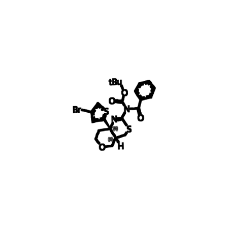 CC(C)(C)OC(=O)N(C(=O)c1ccccc1)C1=N[C@@]2(c3cc(Br)cs3)CCOC[C@H]2CS1